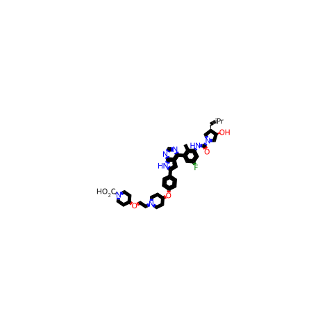 Cc1c(NC(=O)N2C[C@H](CC(C)C)[C@@H](O)C2)cc(F)cc1-c1ncnc2[nH]c(-c3ccc(OC4CCN(CCOC5CCN(C(=O)O)CC5)CC4)cc3)cc12